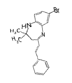 CC1(C)CC(C=Cc2ccccc2)=Nc2cc(Br)ccc2N1